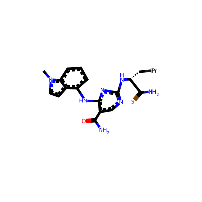 CC(C)C[C@@H](Nc1ncc(C(N)=O)c(Nc2cccc3c2ccn3C)n1)C(N)=S